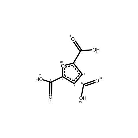 O=C(O)c1ccc(C(=O)O)o1.O=CO